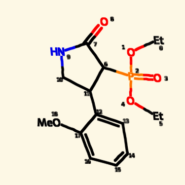 CCOP(=O)(OCC)C1C(=O)NCC1c1ccccc1OC